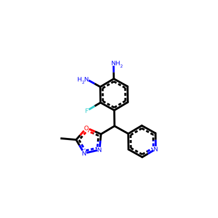 Cc1nnc(C(c2ccncc2)c2ccc(N)c(N)c2F)o1